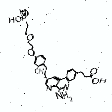 Cc1cc(OCCOCC[PH](=O)O)ccc1CCc1cnc2c(N)nc3cc(CCC(=O)O)ccc3c2c1